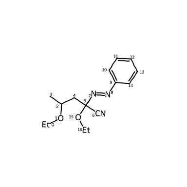 CCOC(C)CC(C#N)(/N=N/c1ccccc1)OCC